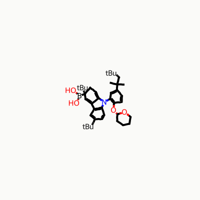 CC(C)(C)CC(C)(C)c1ccc(OC2CCCCO2)c(-n2c3c(c4cc(C(C)(C)C)ccc42)=CC(B(O)O)(C(C)(C)C)CC=3)c1